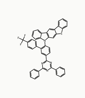 FC(F)(F)c1ccc(-c2cc(-c3nc(-c4ccccc4)nc(-c4ccccc4)n3)ccc2-n2c3ccccc3c3cc4c(cc32)sc2ccccc24)cc1